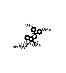 CCCC[Si](C)(C)O[Si](C)(C)CC(=O)Oc1c(C(=O)OC)c2c(c3ccccc13)OC(c1ccc(OC)cc1)(c1ccc(OC)cc1)C=C2